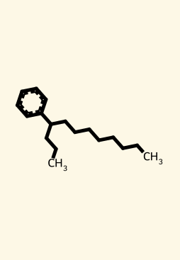 CCCCCCCCC(CCC)c1ccccc1